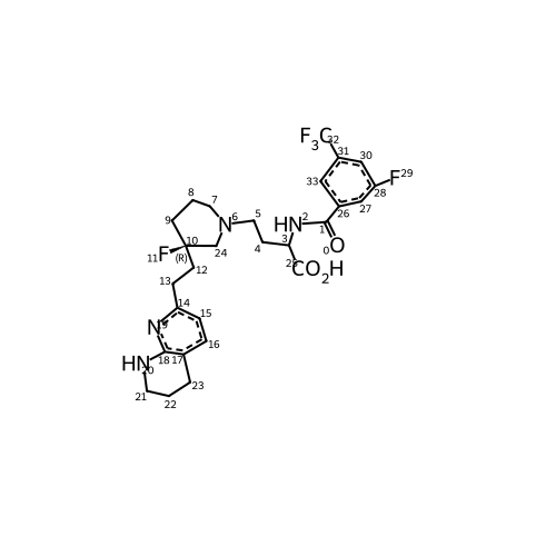 O=C(NC(CCN1CCC[C@@](F)(CCc2ccc3c(n2)NCCC3)C1)C(=O)O)c1cc(F)cc(C(F)(F)F)c1